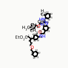 CCOC(=O)C/C(=C/CCOCc1ccccc1)c1ccc(NC(=O)Cc2ccc3nc(Nc4ccccc4C)n(C(C)OCC[Si](C)(C)C)c3c2)cc1